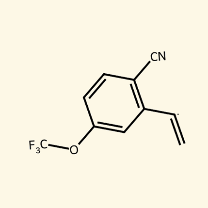 C=[C]c1cc(OC(F)(F)F)ccc1C#N